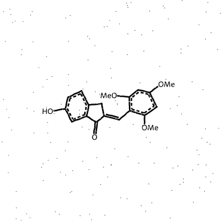 COc1cc(OC)c(C=C2Cc3ccc(O)cc3C2=O)c(OC)c1